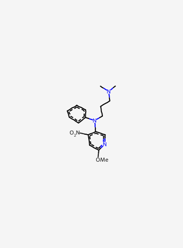 COc1cc([N+](=O)[O-])c(N(CCCN(C)C)c2ccccc2)cn1